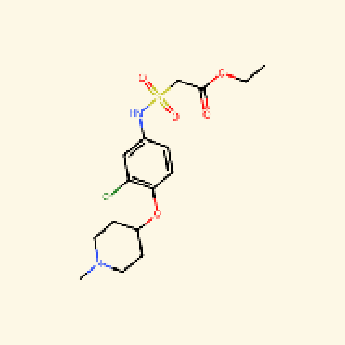 CCOC(=O)CS(=O)(=O)Nc1ccc(OC2CCN(C)CC2)c(Cl)c1